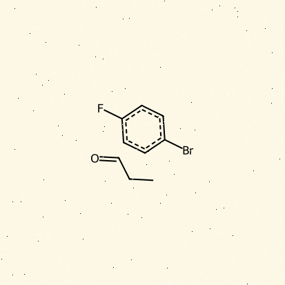 CCC=O.Fc1ccc(Br)cc1